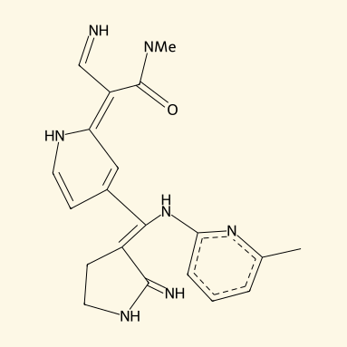 CNC(=O)/C(C=N)=C1C=C(/C(Nc2cccc(C)n2)=C2\CCNC2=N)C=CN\1